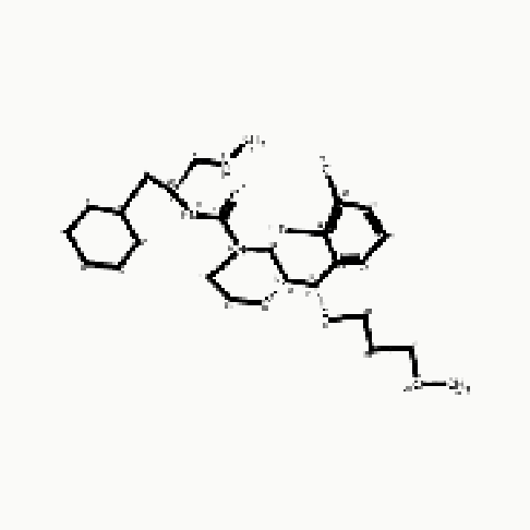 CNC[C@H](CC1CCCCC1)NC(=O)N1CCC[C@@H]([C@@H](CCCCOC)c2cccc(Cl)c2F)C1